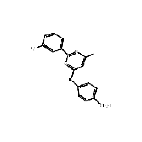 CCOC(=O)c1ccc(Nc2cc(C)nc(-c3cccc(C(F)(F)F)c3)n2)cc1